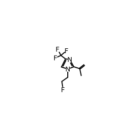 C=C(C)c1nc(C(F)(F)F)cn1CCF